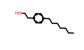 CCCCCCCc1ccc(CCO)cc1